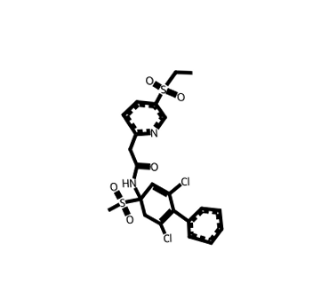 CCS(=O)(=O)c1ccc(CC(=O)NC2(S(C)(=O)=O)C=C(Cl)C(c3ccccc3)=C(Cl)C2)nc1